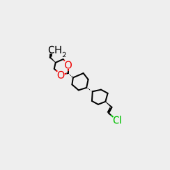 C=C[C@H]1CO[C@H](C2CCC([C@H]3CC[C@H](/C=C/Cl)CC3)CC2)OC1